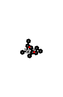 c1ccc(-c2ccc(-c3nc(-c4ccccc4)nc(-n4c5ccccc5c5ccc6c(c7ccccc7n6-c6cccc(-c7ccccc7)c6-c6ccccc6)c54)n3)cc2)cc1